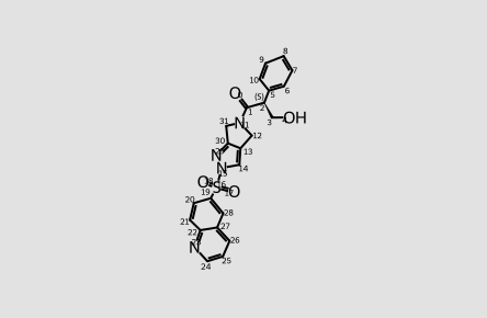 O=C([C@H](CO)c1ccccc1)N1Cc2cn(S(=O)(=O)c3ccc4ncccc4c3)nc2C1